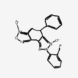 [O-][n+]1onc2c1CC(c1ccccc1)c1c-2nn(-c2ccccc2F)[n+]1[O-]